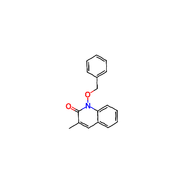 Cc1cc2ccccc2n(OCc2ccccc2)c1=O